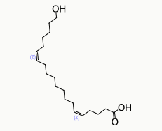 O=C(O)CCC/C=C\CCCCCCC/C=C\CCCCCO